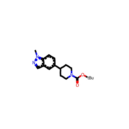 Cn1ncc2cc(C3CCN(C(=O)OC(C)(C)C)CC3)ccc21